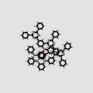 c1ccc(-c2nc(-c3ccccc3)nc(-c3ccc(-n4c5ccccc5c5cc(-c6nc(-c7ccccc7)nc(-c7ccccc7)n6)ccc54)c(-c4nc(-c5ccccc5)nc(-c5cccc(-c6cccc(N7c8ccccc8B8c9ccccc9N(c9ccccc9)c9cccc7c98)c6)c5)n4)c3)n2)cc1